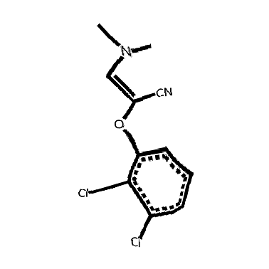 CN(C)/C=C(\C#N)Oc1cccc(Cl)c1Cl